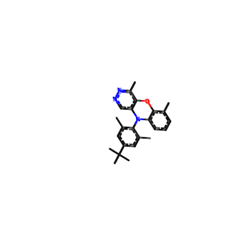 Cc1cccc2c1Oc1c(cnnc1C)N2c1c(C)cc(C(C)(C)C)cc1C